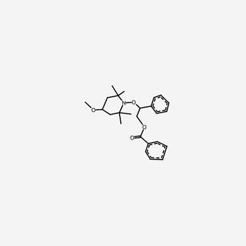 COC1CC(C)(C)N(OC(COC(=O)c2ccccc2)c2ccccc2)C(C)(C)C1